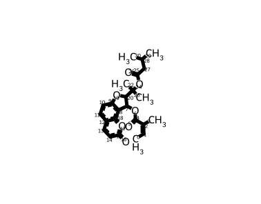 C/C=C(/C)C(=O)OC1c2c(ccc3ccc(=O)oc23)OC1C(C)(C)OC(=O)CC(C)C